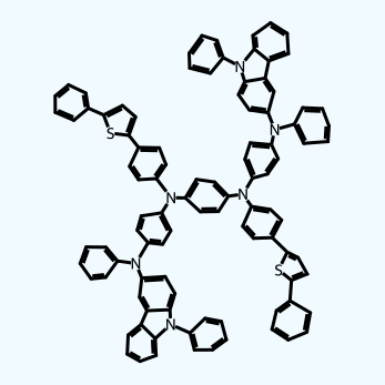 c1ccc(-c2ccc(-c3ccc(N(c4ccc(N(c5ccc(-c6ccc(-c7ccccc7)s6)cc5)c5ccc(N(c6ccccc6)c6ccc7c(c6)c6ccccc6n7-c6ccccc6)cc5)cc4)c4ccc(N(c5ccccc5)c5ccc6c(c5)c5ccccc5n6-c5ccccc5)cc4)cc3)s2)cc1